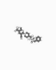 Cc1nc(N2CCC(C(=O)NS(=O)(=O)Cc3ccccc3)CC2)c(C#N)cc1C(O)=S